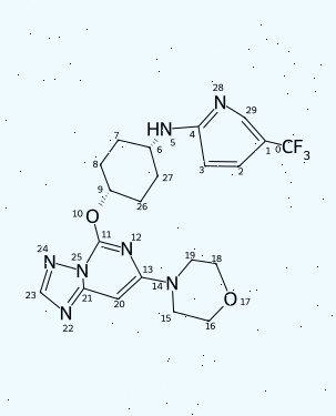 FC(F)(F)c1ccc(N[C@H]2CC[C@@H](Oc3nc(N4CCOCC4)cc4ncnn34)CC2)nc1